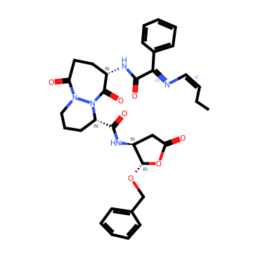 CC/C=C\N=C(\C(=O)N[C@H]1CCC(=O)N2CCC[C@@H](C(=O)N[C@H]3CC(=O)O[C@@H]3OCc3ccccc3)N2C1=O)c1ccccc1